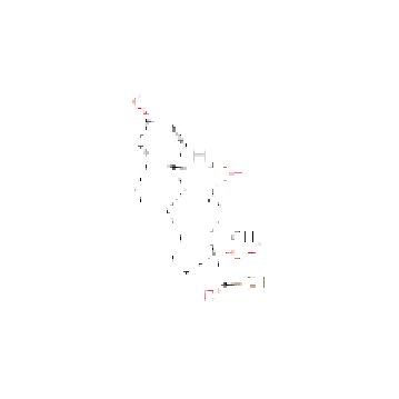 CC12C=CC(=O)C=C1CCC1C2[C@@H](O)CC2(C)C1CC[C@]2(O)C(=O)S